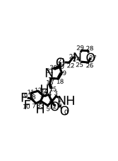 O=C1NCC2(C[C@@H]3CC(F)(F)CC[C@H]3[C@@H]2C=Cc2ccc(OCCN3CCOCC3)cn2)O1